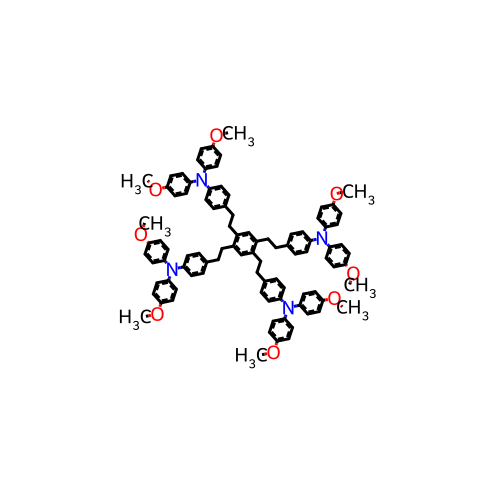 COc1ccc(N(c2ccc(CCc3cc(CCc4ccc(N(c5ccc(OC)cc5)c5ccc(OC)cc5)cc4)c(CCc4ccc(N(c5ccc(OC)cc5)c5ccc(OC)cc5)cc4)cc3CCc3ccc(N(c4ccc(OC)cc4)c4ccc(OC)cc4)cc3)cc2)c2ccc(OC)cc2)cc1